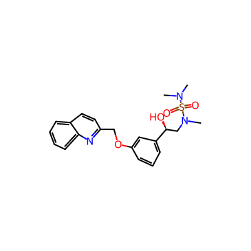 CN(C)S(=O)(=O)N(C)C[C@H](O)c1cccc(OCc2ccc3ccccc3n2)c1